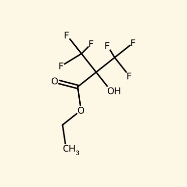 CCOC(=O)C(O)(C(F)(F)F)C(F)(F)F